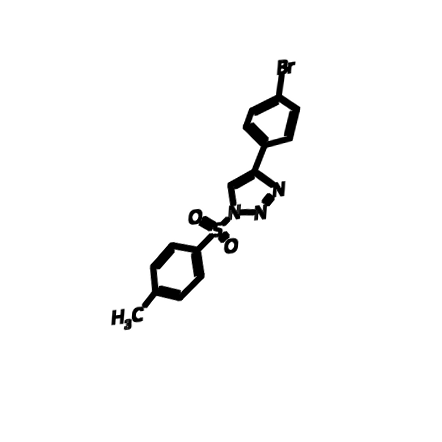 Cc1ccc(S(=O)(=O)n2cc(-c3ccc(Br)cc3)nn2)cc1